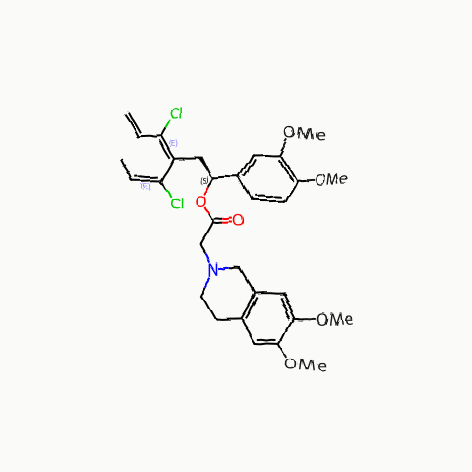 C=C/C(Cl)=C(C[C@H](OC(=O)CN1CCc2cc(OC)c(OC)cc2C1)c1ccc(OC)c(OC)c1)\C(Cl)=C/C